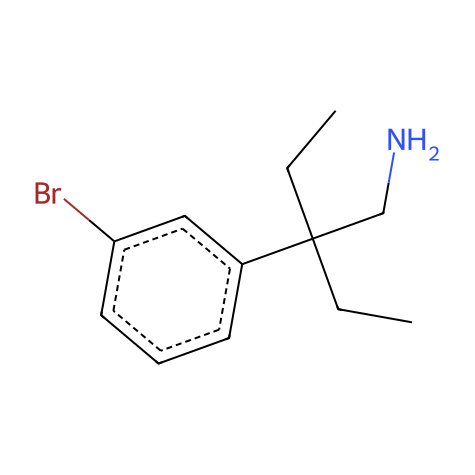 CCC(CC)(CN)c1cccc(Br)c1